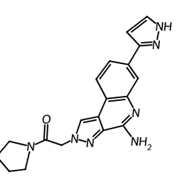 Nc1nc2cc(-c3cc[nH]n3)ccc2c2cn(CC(=O)N3CCCC3)nc12